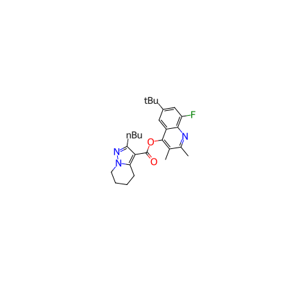 CCCCc1nn2c(c1C(=O)Oc1c(C)c(C)nc3c(F)cc(C(C)(C)C)cc13)CCCC2